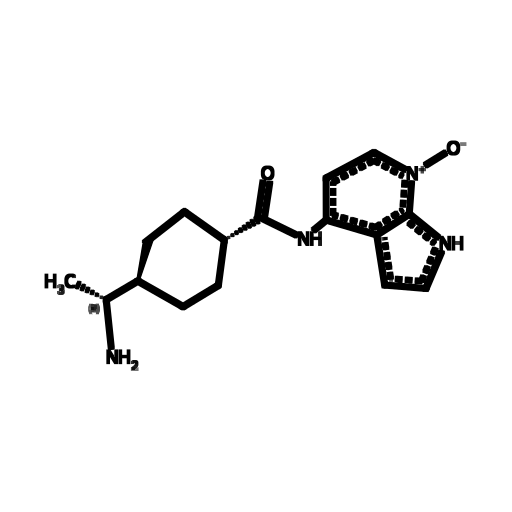 C[C@@H](N)[C@H]1CC[C@H](C(=O)Nc2cc[n+]([O-])c3[nH]ccc23)CC1